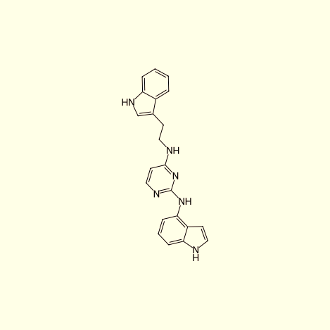 c1ccc2c(CCNc3ccnc(Nc4cccc5[nH]ccc45)n3)c[nH]c2c1